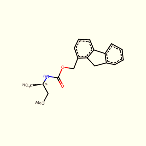 COC[C@H](NC(=O)OCc1cccc2c1Cc1ccccc1-2)C(=O)O